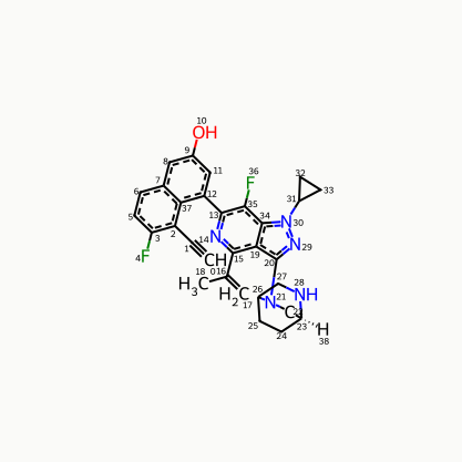 C#Cc1c(F)ccc2cc(O)cc(-c3nc(C(=C)C)c4c(N5C[C@@H]6CCC5CN6)nn(C5CC5)c4c3F)c12